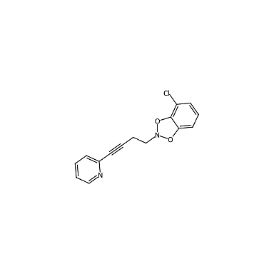 Clc1cccc2c1ON(CCC#Cc1ccccn1)O2